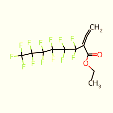 C=C=C(C(=O)OCC)C(F)(F)C(F)(F)C(F)(F)C(F)(F)C(F)(F)C(F)(F)F